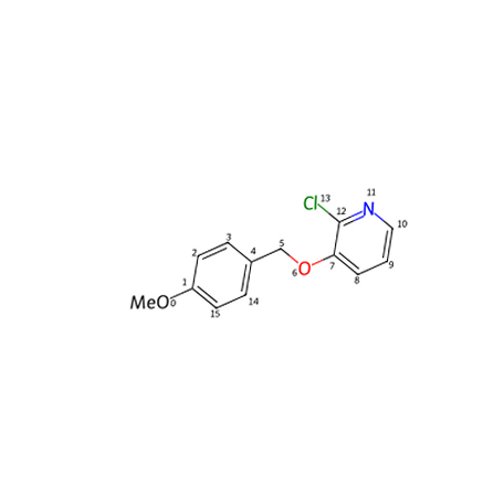 COc1ccc(COc2cccnc2Cl)cc1